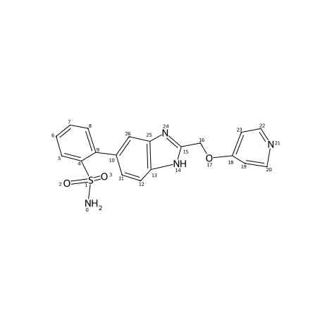 NS(=O)(=O)c1ccccc1-c1ccc2[nH]c(COc3ccncc3)nc2c1